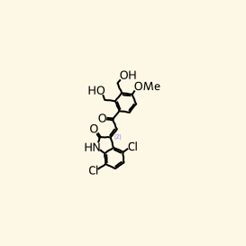 COc1ccc(C(=O)/C=C2\C(=O)Nc3c(Cl)ccc(Cl)c32)c(CO)c1CO